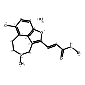 CCNC(=O)/C=C/c1oc2ccc(Cl)c3c2c1CN(C)CC3.Cl